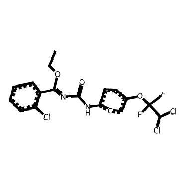 CCOC(=NC(=O)Nc1ccc(OC(F)(F)C(Cl)Cl)cc1)c1ccccc1Cl